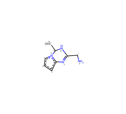 NCC1=Nc2cccn2C(C=O)N1